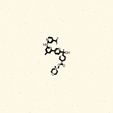 Cc1cc(Nc2cc(C(F)F)ccn2)nc(-c2ccc([C@](C)(O)[C@H]3CC[C@H](C(=O)OC[N+]4(C)CCOCC4)CC3)nc2)c1